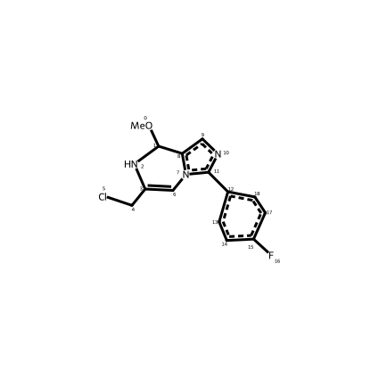 COC1NC(CCl)=Cn2c1cnc2-c1ccc(F)cc1